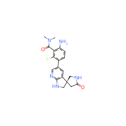 CN(C)C(=O)c1c(N)ccc(-c2cnc3c(c2)[C@@]2(CNC(=O)C2)CN3)c1F